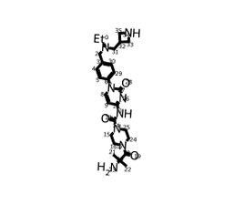 CCN(Cc1ccc(-n2ccc(NC(=O)N3CCN(C(=O)C(C)(C)N)CC3)nc2=O)cc1)CC1CNC1